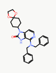 O=c1[nH]c2c(N(Cc3ccccc3)Cc3ccccc3)nccc2n1C1CCC2(CC1)OCCO2